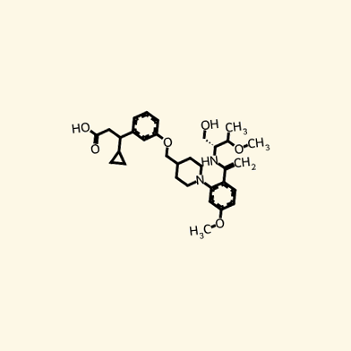 C=C(N[C@H](CO)C(C)OC)c1ccc(OC)cc1N1CCC(COc2cccc(C(CC(=O)O)C3CC3)c2)CC1